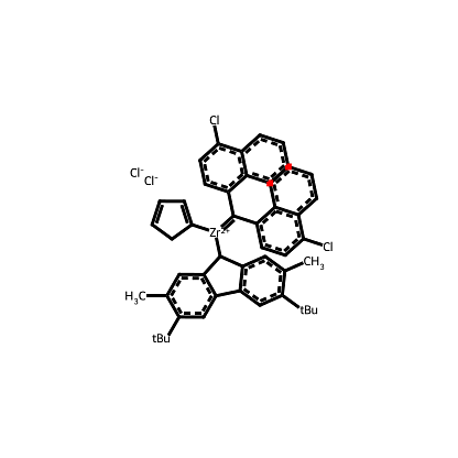 Cc1cc2c(cc1C(C)(C)C)-c1cc(C(C)(C)C)c(C)cc1[CH]2[Zr+2]([C]1=CC=CC1)=[C](c1ccc(Cl)c2ccccc12)c1ccc(Cl)c2ccccc12.[Cl-].[Cl-]